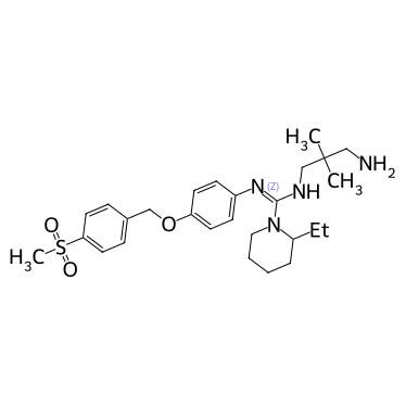 CCC1CCCCN1/C(=N\c1ccc(OCc2ccc(S(C)(=O)=O)cc2)cc1)NCC(C)(C)CN